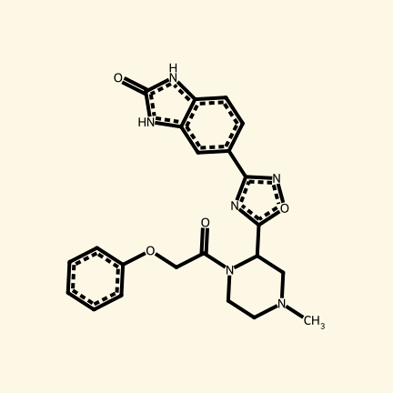 CN1CCN(C(=O)COc2ccccc2)C(c2nc(-c3ccc4[nH]c(=O)[nH]c4c3)no2)C1